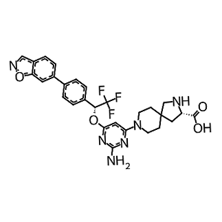 Nc1nc(O[C@H](c2ccc(-c3ccc4cnoc4c3)cc2)C(F)(F)F)cc(N2CCC3(CC2)CN[C@H](C(=O)O)C3)n1